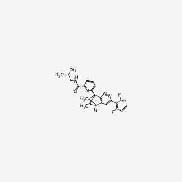 C[C@H](O)CNC(=O)c1cccc([C@@]23CC[C@H](c4cc(-c5c(F)cccc5F)nnc42)C3(C)C)n1